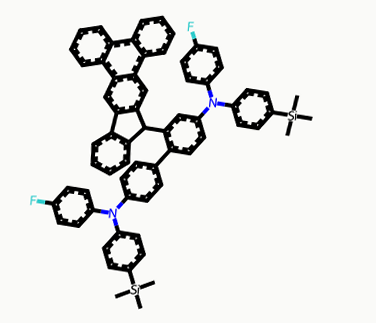 C[Si](C)(C)c1ccc(N(c2ccc(F)cc2)c2ccc(-c3ccc(N(c4ccc(F)cc4)c4ccc([Si](C)(C)C)cc4)cc3C3c4ccccc4-c4cc5c6ccccc6c6ccccc6c5cc43)cc2)cc1